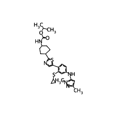 Cc1cc(Nc2ccc(-c3cnc(C4CCC(NC(=O)OC(C)C)CC4)s3)c(SC3CC3)c2)n(C)n1